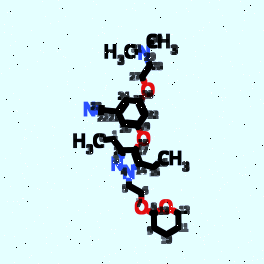 CCc1nn(CCOC2CCCCO2)c(CC)c1Oc1cc(C#N)cc(OCCN(C)C)c1